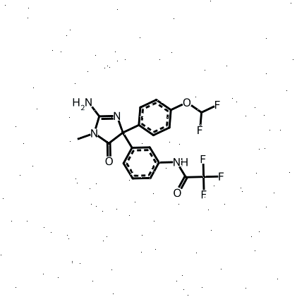 CN1C(=O)C(c2ccc(OC(F)F)cc2)(c2cccc(NC(=O)C(F)(F)F)c2)N=C1N